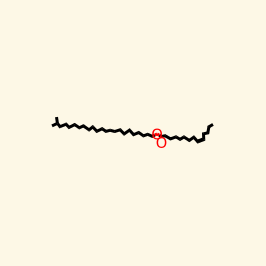 CCCC/C=C\CCCCCCCC(=O)OCCCCCCCCCCCCCCCCCCCCCC(C)C